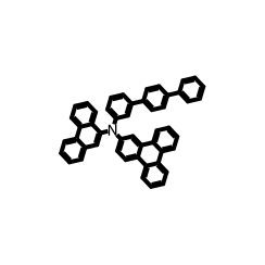 c1ccc(-c2ccc(-c3cccc(N(c4ccc5c6ccccc6c6ccccc6c5c4)c4cc5ccccc5c5ccccc45)c3)cc2)cc1